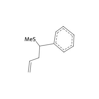 C=CCC(SC)c1ccccc1